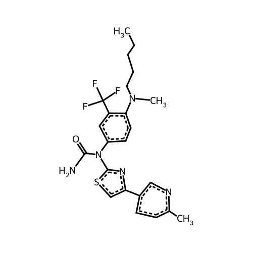 CCCCCN(C)c1ccc(N(C(N)=O)c2nc(-c3ccc(C)nc3)cs2)cc1C(F)(F)F